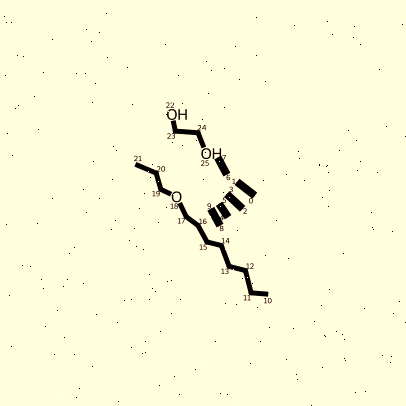 C=C.C=C.C=C.C=C.C=C.CCCCCCCCOCCC.OCCO